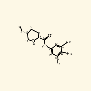 CC[C@@H]1CC[C@@H](C(=O)Oc2cc(F)c(F)c(F)c2)OC1